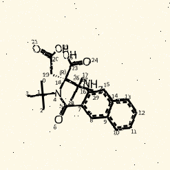 CC(C)(C)N(C(=O)c1cc2ccccc2cc1N)[C@@](CC(=O)O)(C(=O)O)C(C)(C)C